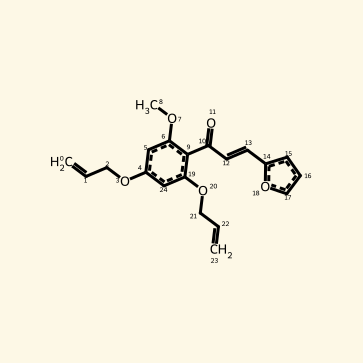 C=CCOc1cc(OC)c(C(=O)/C=C/c2ccco2)c(OCC=C)c1